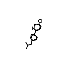 CC(C)Cc1ccc(-c2ccc(Cl)cn2)cc1